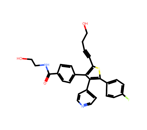 O=C(NCCO)c1ccc(-c2c(C#CCCO)sc(-c3ccc(F)cc3)c2-c2ccncc2)cc1